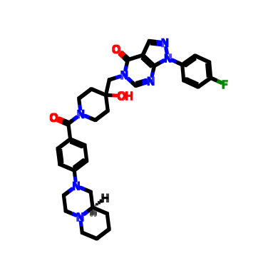 O=C(c1ccc(N2CCN3CCCC[C@@H]3C2)cc1)N1CCC(O)(Cn2cnc3c(cnn3-c3ccc(F)cc3)c2=O)CC1